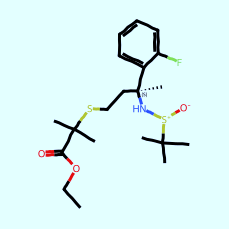 CCOC(=O)C(C)(C)SCC[C@](C)(N[S+]([O-])C(C)(C)C)c1ccccc1F